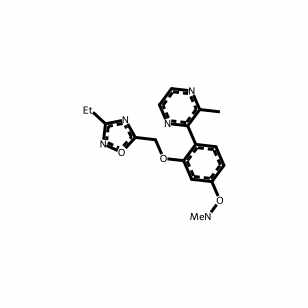 CCc1noc(COc2cc(ONC)ccc2-c2nccnc2C)n1